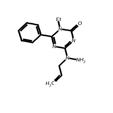 C=CCN(N)c1nc(-c2ccccc2)n(CC)c(=O)n1